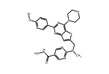 CCOc1ccc(-c2nc(N3CCOCC3)c3sc(CN(C)c4ncc(C(=O)NO)cn4)cc3n2)cn1